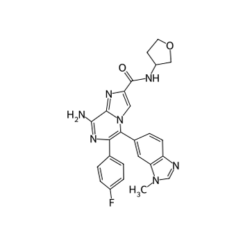 Cn1cnc2ccc(-c3c(-c4ccc(F)cc4)nc(N)c4nc(C(=O)NC5CCOC5)cn34)cc21